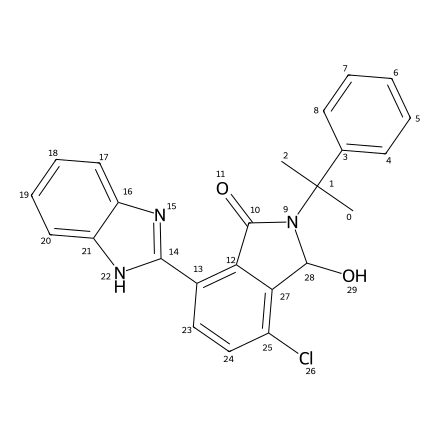 CC(C)(c1ccccc1)N1C(=O)c2c(-c3nc4ccccc4[nH]3)ccc(Cl)c2C1O